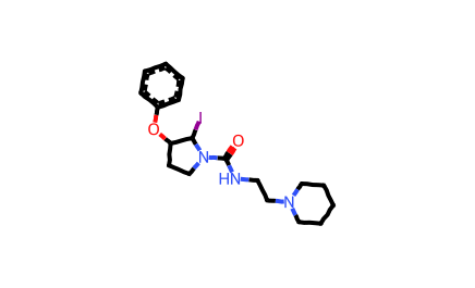 O=C(NCCN1CCCCC1)N1CCC(Oc2ccccc2)C1I